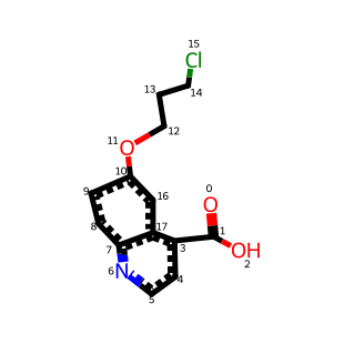 O=C(O)c1ccnc2ccc(OCCCCl)cc12